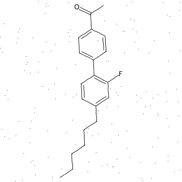 CCCCCCc1ccc(-c2ccc(C(C)=O)cc2)c(F)c1